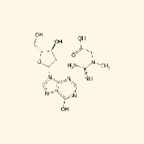 CN(CC(=O)O)C(=N)N.OC[C@H]1O[C@@H](n2cnc3c(O)ncnc32)C[C@@H]1O